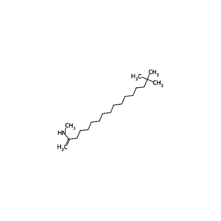 C=C(CCCCCCCCCCCCCC(C)(C)C)NC